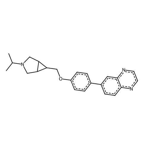 CC(C)N1CC2C(COc3ccc(-c4ccc5nccnc5c4)cc3)C2C1